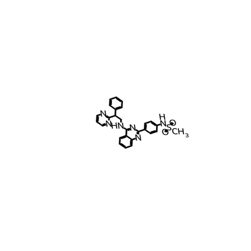 CS(=O)(=O)Nc1ccc(-c2nc(NCC(c3ccccc3)c3ncccn3)c3ccccc3n2)cc1